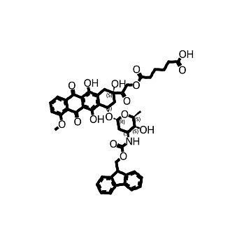 COc1cccc2c1C(=O)c1c(O)c3c(c(O)c1C2=O)C[C@@](O)(C(=O)COC(=O)CCCCC(=O)O)C[C@@H]3O[C@H]1C[C@H](NC(=O)OCC2c3ccccc3-c3ccccc32)[C@H](O)[C@H](C)O1